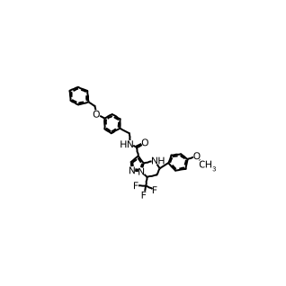 COc1ccc(C2CC(C(F)(F)F)n3ncc(C(=O)NCc4ccc(OCc5ccccc5)cc4)c3N2)cc1